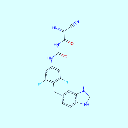 N#CC(=N)C(=O)NC(=O)Nc1cc(F)c(Cc2ccc3c(c2)NCN3)c(F)c1